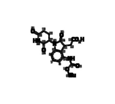 CC(C)(C)OC(=O)Nc1cccc2c1C(CC(=O)O)C(=O)N2C1CCC(=O)NC1=O